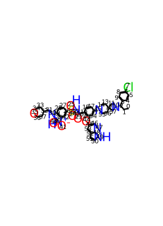 CCC(c1ccc(Cl)cc1)N1CC2(CCN(c3ccc(C(=O)NS(=O)(=O)c4ccc(NCC5CCOCC5)c([N+](=O)[O-])c4)c(Oc4cnc5[nH]ccc5c4)c3)CC2)C1